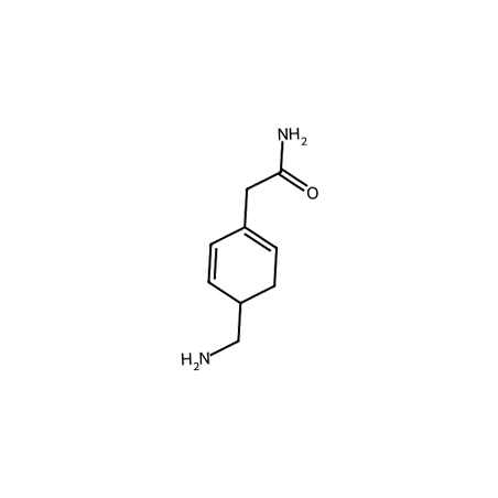 NCC1C=CC(CC(N)=O)=CC1